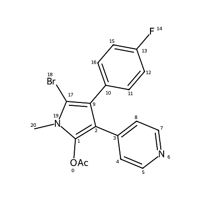 CC(=O)Oc1c(-c2ccncc2)c(-c2ccc(F)cc2)c(Br)n1C